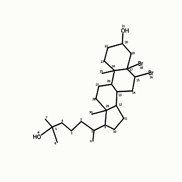 CC(CCCC(C)(C)O)C1CCC2C3CC(Br)C4(Br)CC(O)CCC4(C)C3CCC12C